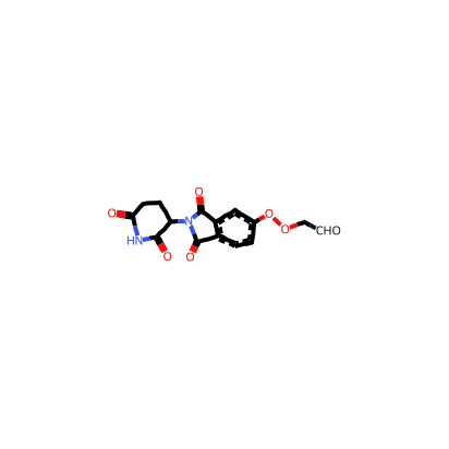 O=CCOOc1ccc2c(c1)C(=O)N(C1CCC(=O)NC1=O)C2=O